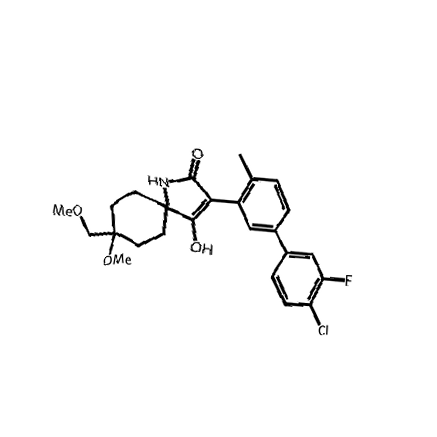 COCC1(OC)CCC2(CC1)NC(=O)C(c1cc(-c3ccc(Cl)c(F)c3)ccc1C)=C2O